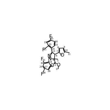 COC(=O)C1(C)C(c2ccc(C)o2)C(c2ccc(F)cc2F)=NN1c1ccc(F)cc1F